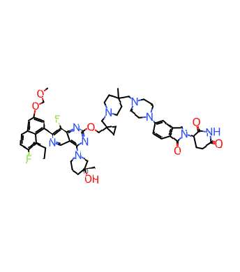 CCc1c(F)ccc2cc(OCOC)cc(-c3ncc4c(N5CCC[C@@](C)(O)C5)nc(OCC5(CN6CCC(C)(CN7CCN(c8ccc9c(c8)CN(C8CCC(=O)NC8=O)C9=O)CC7)CC6)CC5)nc4c3F)c12